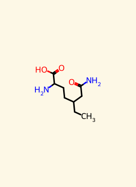 CCC(CCC(N)C(=O)O)CC(N)=O